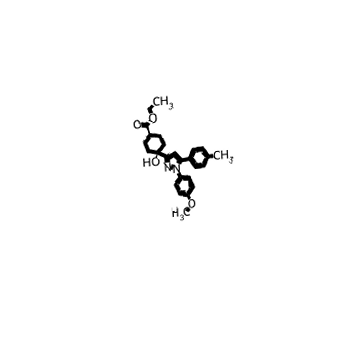 CCOC(=O)[C@H]1CC[C@@](O)(c2cc(-c3ccc(C)cc3)n(-c3ccc(OC)cc3)n2)CC1